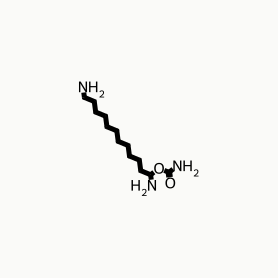 NCCCCCCCCCCCC(N)OC(N)=O